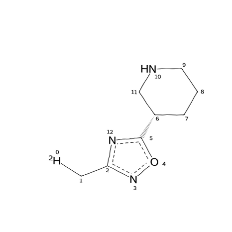 [2H]Cc1noc([C@H]2CCCNC2)n1